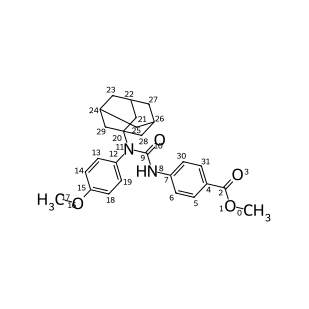 COC(=O)c1ccc(NC(=O)N(c2ccc(OC)cc2)C23CC4CC(CC(C4)C2)C3)cc1